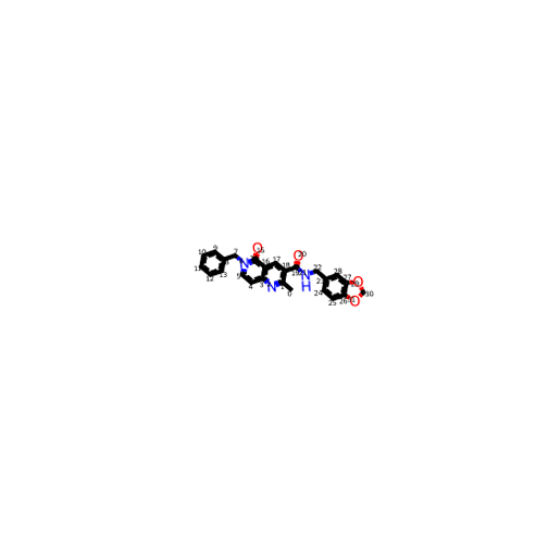 Cc1nc2ccn(Cc3ccccc3)c(=O)c2cc1C(=O)NCc1ccc2c(c1)OCO2